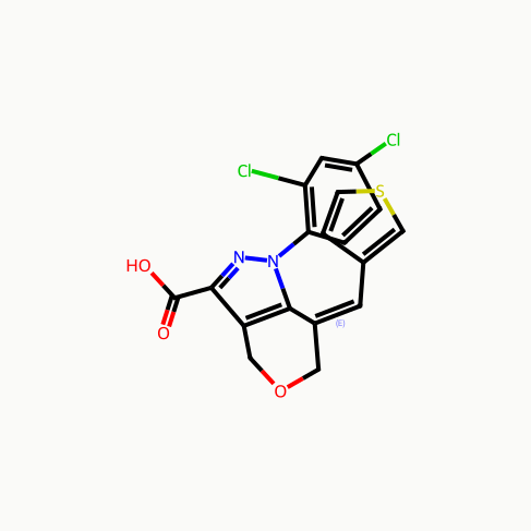 O=C(O)c1nn(-c2ccc(Cl)cc2Cl)c2c1COC/C2=C/c1ccsc1